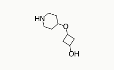 OC1CC(OC2CCNCC2)C1